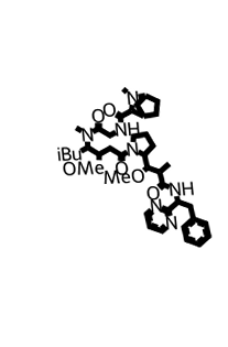 CCC(C)C(C(CC(=O)N1CCCC1C(OC)C(C)C(=O)NC(Cc1ccccc1)c1ncccn1)OC)N(C)C(=O)CNC(=O)C1C2CCC(C2)N1C